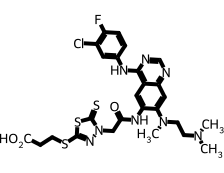 CN(C)CCN(C)c1cc2ncnc(Nc3ccc(F)c(Cl)c3)c2cc1NC(=O)Cn1nc(SCCC(=O)O)sc1=S